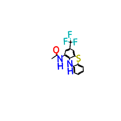 CC(=O)Nc1cc(C(F)(F)F)cc2c1Nc1ccccc1S2